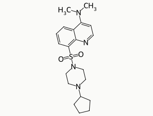 CN(C)c1ccnc2c(S(=O)(=O)N3CCN(C4CCCC4)CC3)cccc12